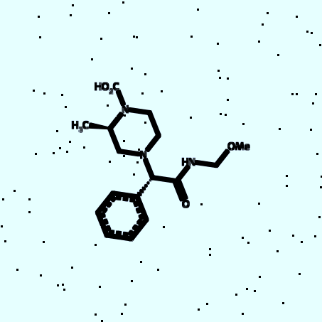 COCNC(=O)[C@H](c1ccccc1)N1CCN(C(=O)O)[C@H](C)C1